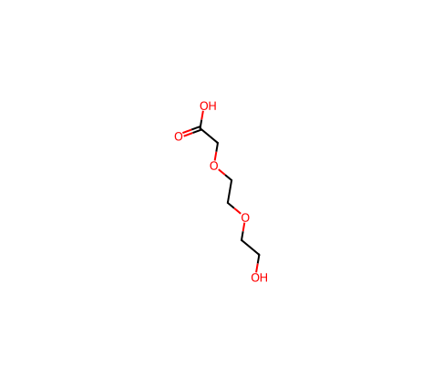 O=C(O)COCCOCCO